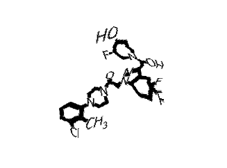 Cc1c(Cl)cccc1N1CCN(C(=O)Cn2nc(C(O)N3CC[C@H](O)[C@H](F)C3)c3c2CCC(F)(F)C3)CC1